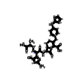 C[C@H](O/N=C(\C(=O)N[C@@H]1C(=O)N2C(C(=O)O)=C(C[n+]3ccc(Nc4nccs4)cc3)CSC12)c1nc(N)sc1Cl)C(=O)O